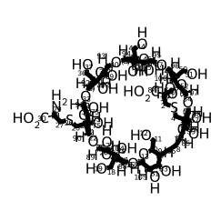 C[C@H](CSCC1C[C@@H]2C[C@@H]3C(CO)O[C@H](O[C@@H]4C(CO)O[C@H](O[C@@H]5C(CSC[C@@H](N)C(=O)O)O[C@H](O[C@@H]6C(CO)O[C@H](O[C@@H]7C(CO)O[C@H](O[C@@H]8C(CO)O[C@H](O[C@H]1[C@H](O)C2O)C(O)[C@H]8O)[C@@H](O)C7O)[C@@H](O)C6O)[C@@H](O)C5O)[C@@H](O)C4O)[C@@H](O)C3O)C(=O)O